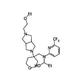 CCOCCN1CC2CN(C3(CN(c4cccc(C(F)(F)F)n4)C(O)CC)CCOCC3)CC2C1